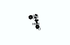 Clc1ccc2[nH]c(C3CN(c4nccnc4Oc4ccccc4)C3)nc2c1